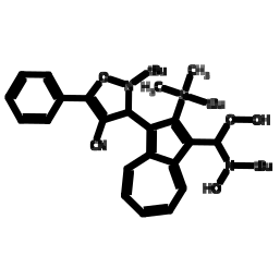 CC(C)(C)N(O)C(OO)c1c2cccccc-2c(C2C(C#N)=C(c3ccccc3)ON2C(C)(C)C)c1[Si](C)(C)C(C)(C)C